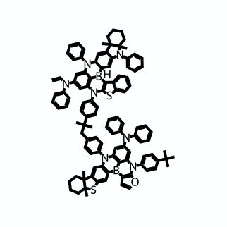 C=CN(c1ccccc1)c1cc2c3c(c1)N(c1ccccc1)C1C=C4C(=C[C@H]1B3c1c(sc3ccccc13)N2c1ccc(C(C)(C)Cc2ccc(N3c5cc6c(cc5B5c7ccoc7N(c7ccc(C(C)(C)C)cc7)c7cc(N(c8ccccc8)c8ccccc8)cc3c75)SC3(C)CCCCC63C)cc2)cc1)N(c1ccccc1)C1(C)CCCCC41C